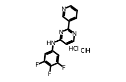 Cl.Cl.Fc1cc(Nc2ccnc(-c3cccnc3)n2)cc(F)c1F